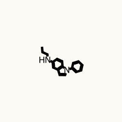 CCCNc1ccc2c(ccn2-c2ccccc2)c1